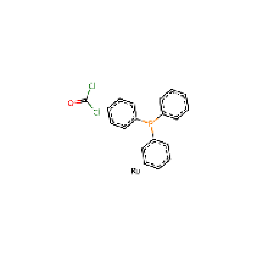 O=C(Cl)Cl.[Ru].c1ccc(P(c2ccccc2)c2ccccc2)cc1